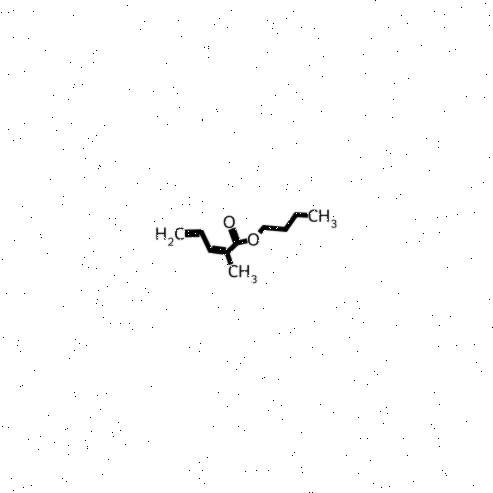 C=CC=C(C)C(=O)OCCCC